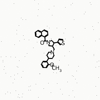 COc1ccccc1C1CCN(CC2CN(C(=O)c3cccc4ccccc34)CC2c2ccsc2)CC1